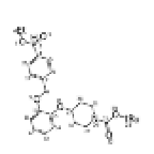 CCO[PH](=O)c1ccc(COc2ccccc2OC2CCN(C(=O)OC(C)(C)C)CC2)cc1